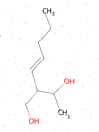 CCCC=CC(CO)C(C)O